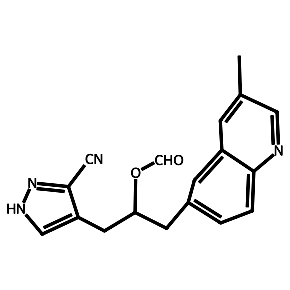 Cc1cnc2ccc(CC(Cc3c[nH]nc3C#N)OC=O)cc2c1